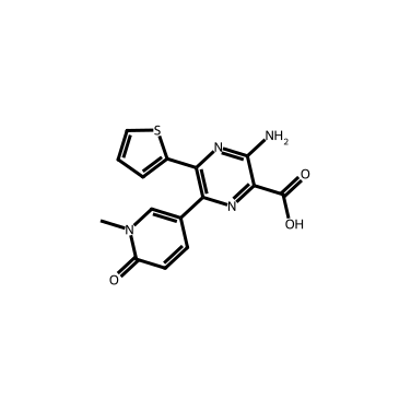 Cn1cc(-c2nc(C(=O)O)c(N)nc2-c2cccs2)ccc1=O